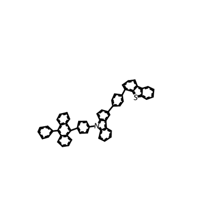 c1ccc(-c2c3ccccc3c(-c3ccc(-n4c5ccccc5c5cc(-c6ccc(-c7cccc8c7sc7ccccc78)cc6)ccc54)cc3)c3ccccc23)cc1